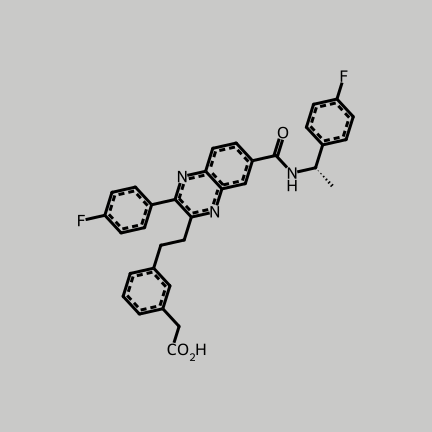 C[C@H](NC(=O)c1ccc2nc(-c3ccc(F)cc3)c(CCc3cccc(CC(=O)O)c3)nc2c1)c1ccc(F)cc1